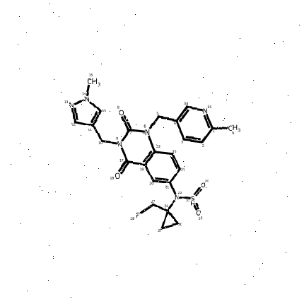 Cc1ccc(Cn2c(=O)n(Cc3cnn(C)c3)c(=O)c3cc(N([SH](=O)=O)C4(CF)CC4)ccc32)cn1